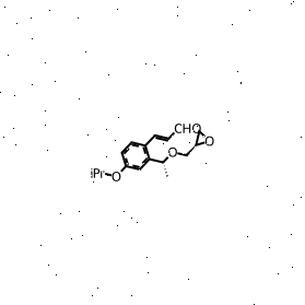 CC(C)Oc1ccc(/C=C/C=O)c([C@@H](C)OC[C@H]2CO2)c1